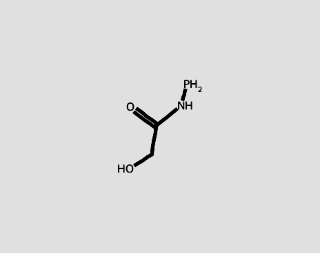 O=C(CO)NP